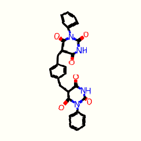 O=C1NC(=O)N(c2ccccc2)C(=O)C1Cc1ccc(CC2C(=O)NC(=O)N(c3ccccc3)C2=O)cc1